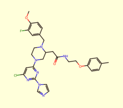 COc1ccc(CN2CCN(c3cc(Cl)nc(-n4ccnc4)n3)CC2CC(=O)NCCOc2ccc(C)cc2)cc1F